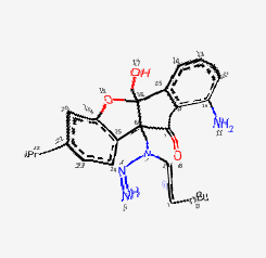 CCCC/C=C/N(N=N)C12C(=O)c3c(N)cccc3C1(O)Oc1cc(C(C)C)ccc12